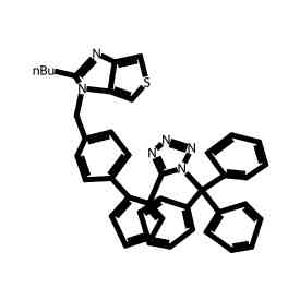 CCCCc1nc2cscc2n1Cc1ccc(-c2ccccc2-c2nnnn2C(c2ccccc2)(c2ccccc2)c2ccccc2)cc1